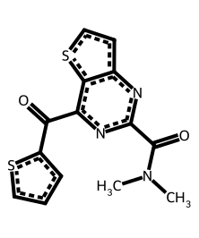 CN(C)C(=O)c1nc(C(=O)c2cccs2)c2sccc2n1